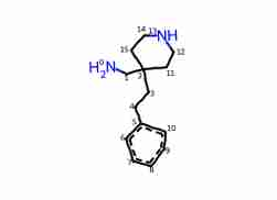 NCC1(CCc2ccccc2)CCNCC1